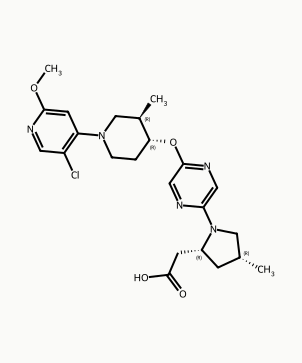 COc1cc(N2CC[C@@H](Oc3cnc(N4C[C@H](C)C[C@@H]4CC(=O)O)cn3)[C@H](C)C2)c(Cl)cn1